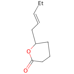 CC/C=C/CC1CCCC(=O)O1